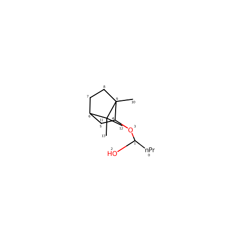 CCCC(O)OC1CC2CCC1(C)C2(C)C